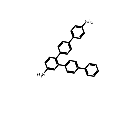 Nc1ccc(-c2ccc(-c3ccc(N)cc3-c3ccc(-c4ccccc4)cc3)cc2)cc1